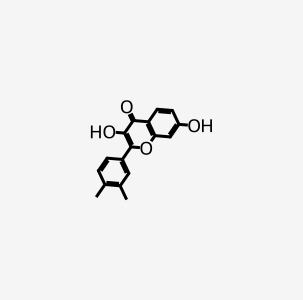 Cc1ccc(-c2oc3cc(O)ccc3c(=O)c2O)cc1C